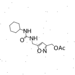 CC(=O)OCc1cc(CNC(=O)NC2CCCCC2)on1